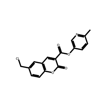 Cc1ccc(OC(=O)c2cc3cc(CCl)ccc3oc2=O)cn1